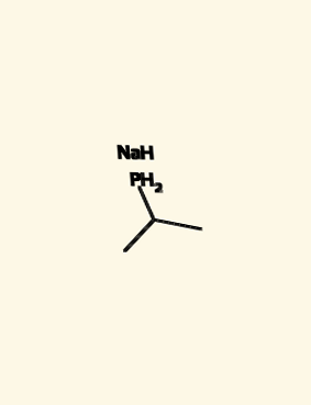 CC(C)P.[NaH]